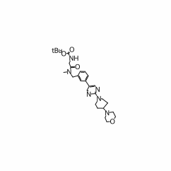 CN(Cc1cccc(-c2cnc(N3CCC(N4CCOCC4)CC3)nc2)c1)C(=O)CNC(=O)OC(C)(C)C